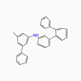 Cc1cc(Nc2cccc(-c3ccccc3-c3ccccc3)c2)cc(-c2ccccc2)c1